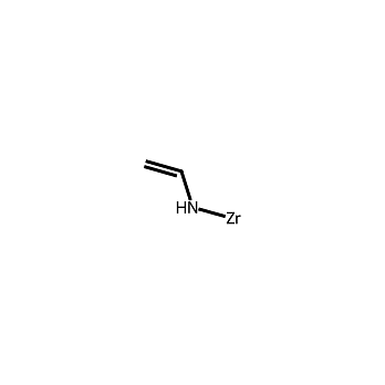 C=C[NH][Zr]